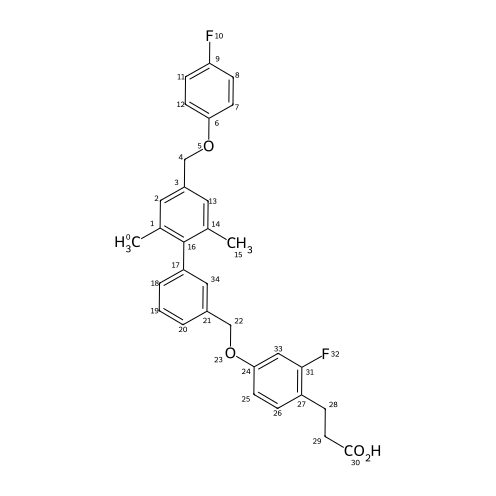 Cc1cc(COc2ccc(F)cc2)cc(C)c1-c1cccc(COc2ccc(CCC(=O)O)c(F)c2)c1